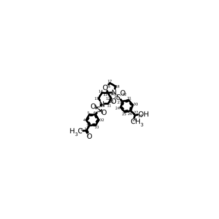 CC(=O)c1ccc(S(=O)(=O)N2CCC3(CC2)OCCN3S(=O)(=O)c2ccc(C(C)O)cc2)cc1